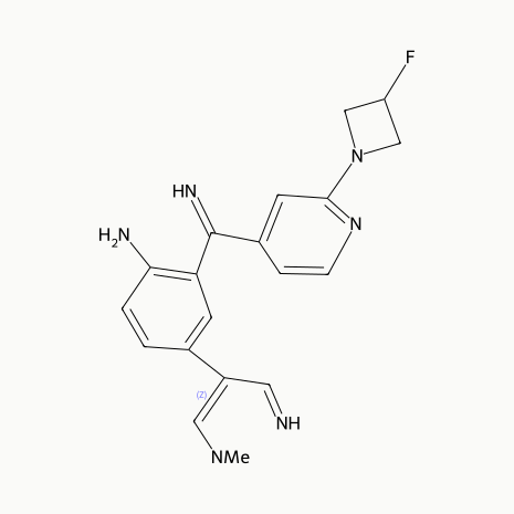 CN/C=C(\C=N)c1ccc(N)c(C(=N)c2ccnc(N3CC(F)C3)c2)c1